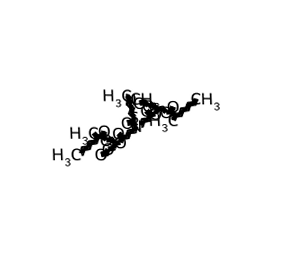 CCCCCCC(C)C(=O)OCC(COC=O)OC(=O)CCCN(CCCC(=O)OC(COC=O)COC(=O)C(C)CCCCCC)C(=O)SCCCN(C)C